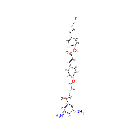 CCCCCc1ccc(OC(=O)/C=C/c2ccc(OCCCOC(=O)c3cc(N)cc(N)c3)cc2)cc1